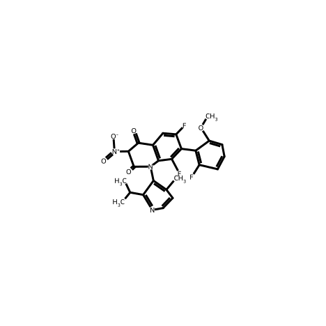 COc1cccc(F)c1-c1c(F)cc2c(c1F)N(c1c(C)ccnc1C(C)C)C(=O)C([N+](=O)[O-])C2=O